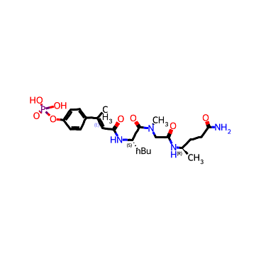 CCCC[C@H](NC(=O)/C=C(\C)c1ccc(OP(=O)(O)O)cc1)C(=O)N(C)CC(=O)N[C@H](C)CCC(N)=O